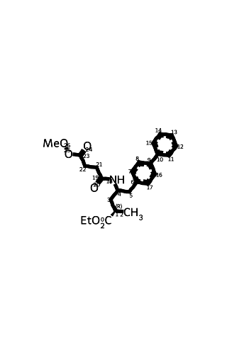 CCOC(=O)[C@H](C)CC(Cc1ccc(-c2ccccc2)cc1)NC(=O)CCC(=O)OOC